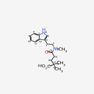 CN(CCc1c[nH]c2ccccc12)C(=O)CCC(C)(C)C(=O)O